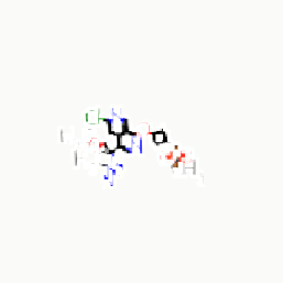 COC[C@@](C)(N=[N+]=[N-])c1cnc(O[C@H]2C[C@H](CS(C)(=O)=O)C2)c2cnc(Cl)cc12